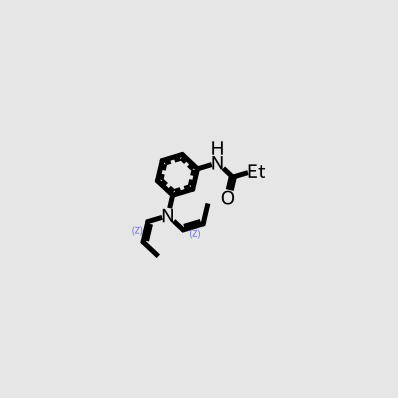 C/C=C\N(/C=C\C)c1cccc(NC(=O)CC)c1